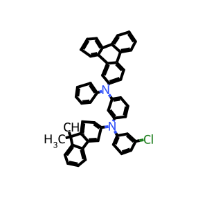 CC1(C)c2ccccc2-c2cc(N(c3cccc(Cl)c3)c3cccc(N(c4ccccc4)c4ccc5c6ccccc6c6ccccc6c5c4)c3)ccc21